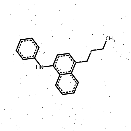 CCCCc1ccc(Nc2ccccc2)c2ccccc12